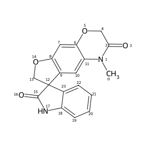 CN1C(=O)COc2cc3c(cc21)C1(CO3)C(=O)Nc2ccccc21